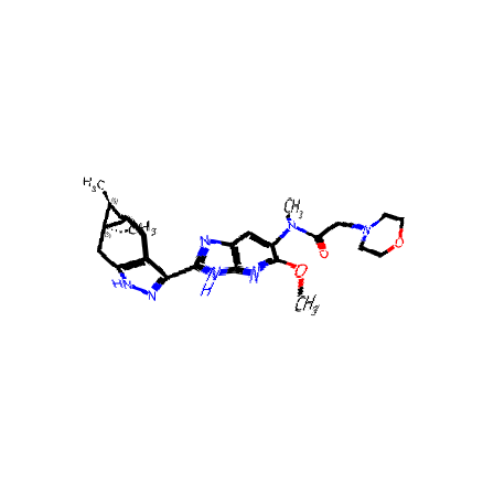 COc1nc2[nH]c(-c3n[nH]c4c3CC3[C@H](C)[C@]3(C)C4)nc2cc1N(C)C(=O)CN1CCOCC1